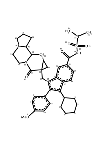 COc1ccc(-c2c(C3CCCCC3)c3ccc(C(=O)NS(=O)(=O)N(C)C)cc3n2CC2(C(=O)N3CCN4CCCC4C3C)CC2)cc1